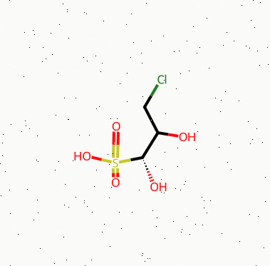 O=S(=O)(O)[C@@H](O)C(O)CCl